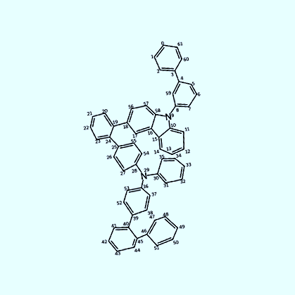 c1ccc(-c2cccc(-n3c4ccccc4c4cc(-c5ccccc5-c5ccc(N(c6ccccc6)c6ccc(-c7ccccc7-c7ccccc7)cc6)cc5)ccc43)c2)cc1